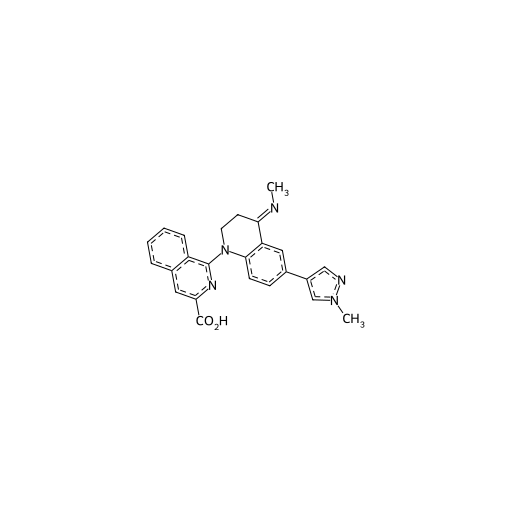 CN=C1CCN(c2nc(C(=O)O)cc3ccccc23)c2ccc(-c3cnn(C)c3)cc21